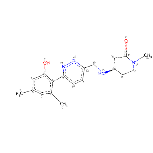 Cc1cc(C(F)(F)F)cc(O)c1-c1ccc(CN[C@@H]2CCN(C)C(=O)C2)nn1